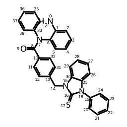 Nc1ccccc1N(C(=O)c1ccc(Cn2c(=S)n(-c3ccccc3)c3ccccc32)cc1)c1ccccc1